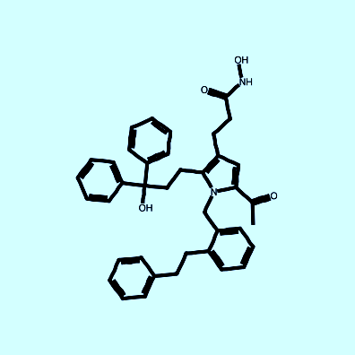 CC(=O)c1cc(CCC(=O)NO)c(CCC(O)(c2ccccc2)c2ccccc2)n1Cc1ccccc1CCc1ccccc1